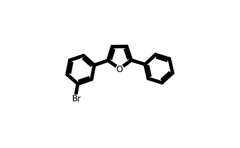 Brc1cccc(-c2ccc(-c3ccccc3)o2)c1